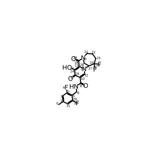 Cc1cc(F)c(CNC(=O)c2cn3c(c(O)c2=O)C(=O)N2CCCC(F)(F)C3C2)c(F)c1